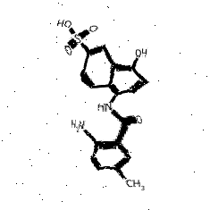 Cc1ccc(N)c(C(=O)Nc2ccc(O)c3cc(S(=O)(=O)O)ccc23)c1